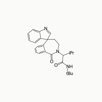 CC(C)C(C(=O)NC(C)(C)C)N1CCC2(C=Nc3ccccc32)c2ccccc2C1=O